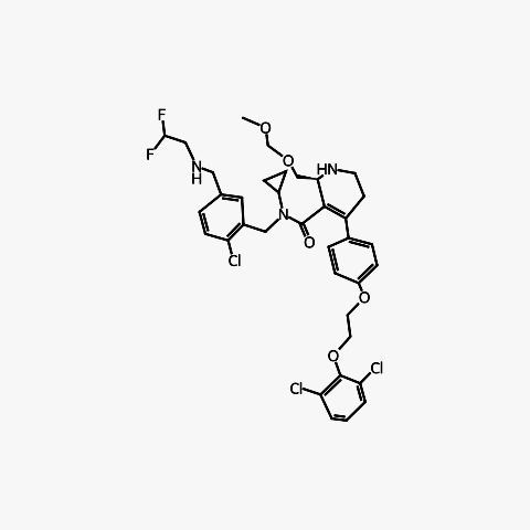 COCOC[C@H]1NCCC(c2ccc(OCCOc3c(Cl)cccc3Cl)cc2)=C1C(=O)N(Cc1cc(CNCC(F)F)ccc1Cl)C1CC1